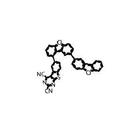 N#Cc1nc(C#N)c2c(n1)sc1ccc(-c3cccc4oc5ccc(-c6ccc7oc8ccccc8c7c6)cc5c34)cc12